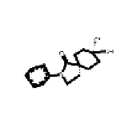 O=C1N(c2cc[c]cc2)CC[C@]12CC[C@@](O)(C(F)(F)F)CC2